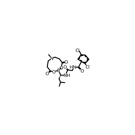 CC(C)C[C@H](NC(=O)CNC(=O)c1cc(Cl)ccc1Cl)B1OC(=O)CCN(C)CCC(=O)O1